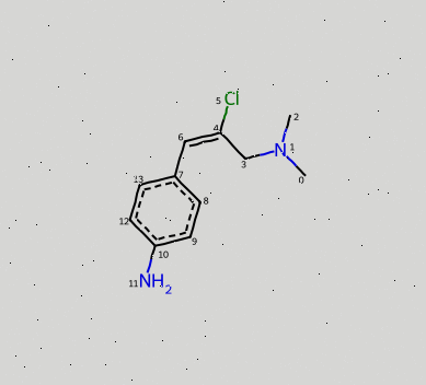 CN(C)C/C(Cl)=C\c1ccc(N)cc1